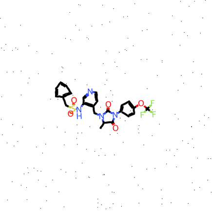 CC1C(=O)N(c2ccc(OC(F)(F)F)cc2)C(=O)N1Cc1ccncc1NS(=O)(=O)Cc1ccccc1